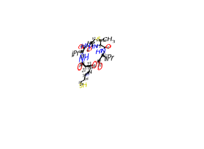 CC(C)[C@@H]1NC(=O)C2NC(=O)[C@@H](CS[C@@H]2C)NC(=O)[C@@H](C(C)C)NC(=O)C[C@H](/C=C/CCS)OC1=O